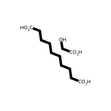 O=C(O)CCCCCCCCC(=O)O.O=C(O)CO